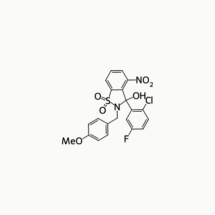 COc1ccc(CN2C(O)(c3cc(F)ccc3Cl)c3c([N+](=O)[O-])cccc3S2(=O)=O)cc1